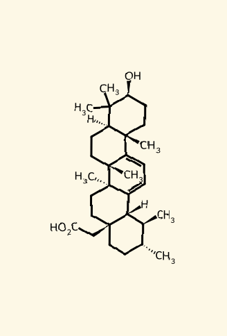 C[C@H]1[C@H](C)CC[C@]2(CC(=O)O)CC[C@]3(C)C(=CC=C4[C@@]5(C)CC[C@H](O)C(C)(C)[C@@H]5CC[C@]43C)[C@H]12